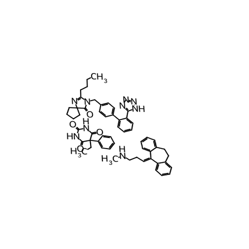 CCC1(c2ccccc2)C(=O)NC(=O)NC1=O.CCCCC1=NC2(CCCC2)C(=O)N1Cc1ccc(-c2ccccc2-c2nnn[nH]2)cc1.CNCCC=C1c2ccccc2CCc2ccccc21